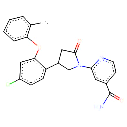 N#Cc1ccccc1Oc1cc(Cl)ccc1C1CC(=O)N(c2cc(C(N)=O)ccn2)C1